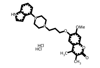 COc1cc2oc(=O)c(C)c(C)c2cc1OCCCN1CCN(c2cccc3[nH]ccc23)CC1.Cl.Cl